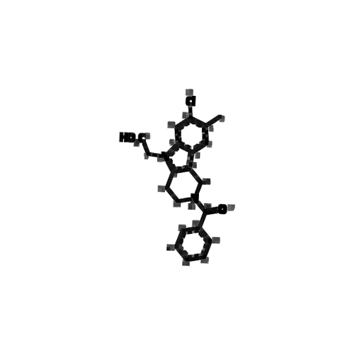 Cc1cc2c3c(n(CC(=O)O)c2cc1Cl)CCN(C(=O)c1ccccc1)C3